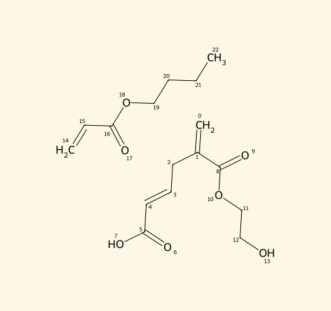 C=C(CC=CC(=O)O)C(=O)OCCO.C=CC(=O)OCCCC